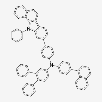 c1ccc(-c2ccc(N(c3ccc(-c4ccc5c6ccc7ccccc7c6n(-c6ccccc6)c5c4)cc3)c3ccc(-c4cccc5ccccc45)cc3)cc2-c2ccccc2)cc1